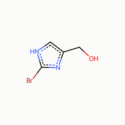 OCc1c[nH]c(Br)n1